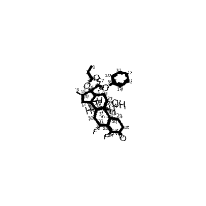 CCC(=O)O[C@]1(C(=S)Oc2ccccc2)[C@H](C)C[C@H]2[C@@H]3C[C@H](F)C4=C(F)C(=O)CC[C@]4(C)[C@H]3[C@@H](O)C[C@@]21C